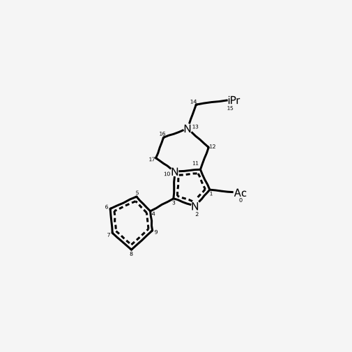 CC(=O)c1nc(-c2ccccc2)n2c1CN(CC(C)C)CC2